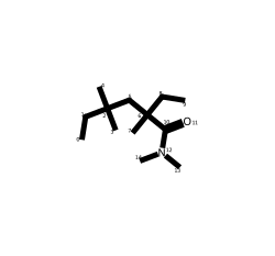 CCC(C)(C)CC(C)(CC)C(=O)N(C)C